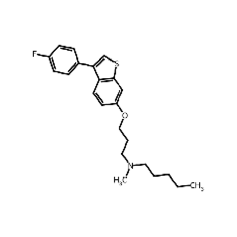 CCCCCN(C)CCCOc1ccc2c(-c3ccc(F)cc3)csc2c1